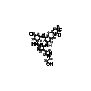 O=C(N1CCc2ccc(Nc3nc(Nc4cc(Cl)cc(Cl)c4)ncc3-c3cnn(CCO)c3)cc2C1)C(F)(F)F